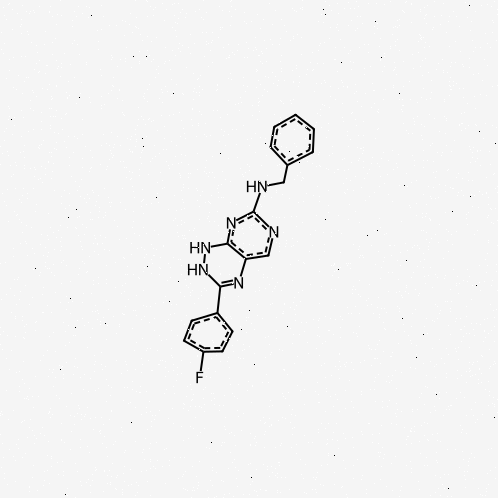 Fc1ccc(C2=Nc3cnc(NCc4ccccc4)nc3NN2)cc1